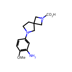 COc1ccc(N2CCC3(CN(C(=O)O)C3)C2)cc1N